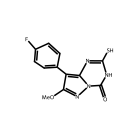 COc1nn2c(=O)[nH]c(S)nc2c1-c1ccc(F)cc1